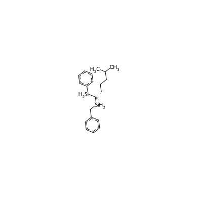 CC(C)CCC[C@H]([SiH2]Cc1ccccc1)[SiH2]c1ccccc1